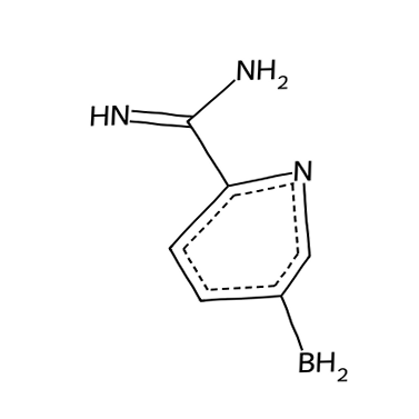 Bc1ccc(C(=N)N)nc1